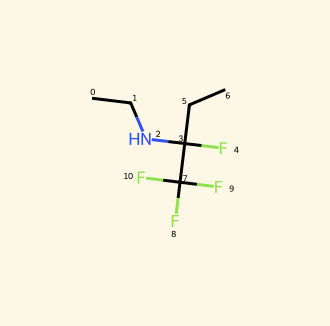 CCNC(F)(CC)C(F)(F)F